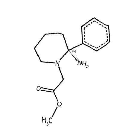 COC(=O)CN1CCCC[C@@]1(N)c1ccccc1